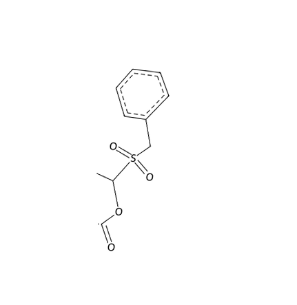 CC(O[C]=O)S(=O)(=O)Cc1ccccc1